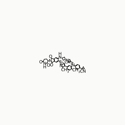 Cc1ccc(-c2c(C)noc2C)cc1N(CC1CN([C@H]2C[C@@H](Nc3cc4c(cc3F)C(=O)N(C3CCC(=O)NC3=O)C4=O)C2)C1)c1ccc(C2(C#N)CC2)cc1